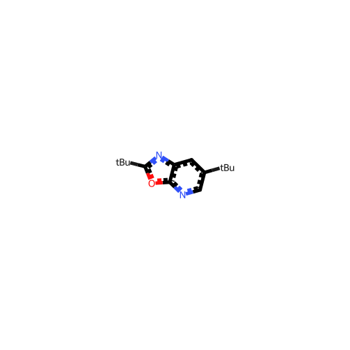 CC(C)(C)c1cnc2oc(C(C)(C)C)nc2c1